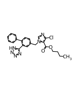 CCCCOC(=O)c1c(Cl)ncn1Cc1ccc(-c2ccccc2)c(-c2nnn[nH]2)c1